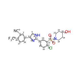 N#Cc1cc(-c2c[nH]c(-c3ccc(Cl)c(S(=O)(=O)N4CCC(O)CC4)c3)n2)ccc1C(F)(F)F